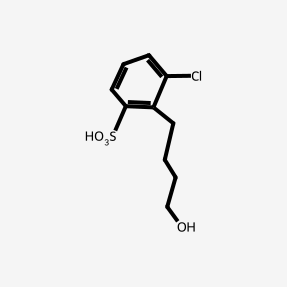 O=S(=O)(O)c1cccc(Cl)c1CCCCO